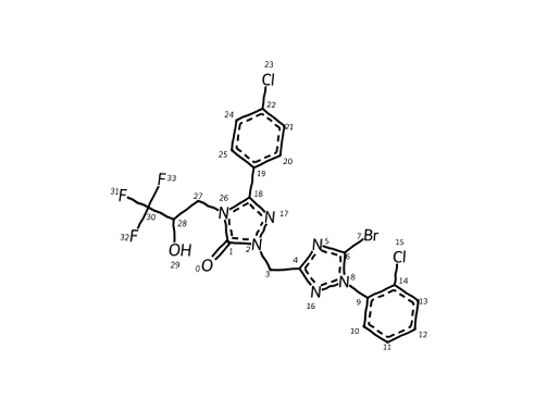 O=c1n(Cc2nc(Br)n(-c3ccccc3Cl)n2)nc(-c2ccc(Cl)cc2)n1CC(O)C(F)(F)F